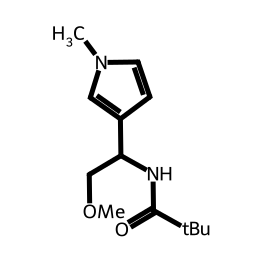 COCC(NC(=O)C(C)(C)C)c1ccn(C)c1